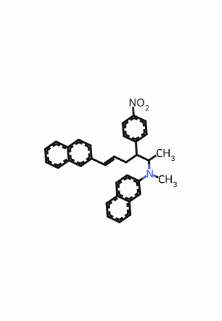 CC(C(C/C=C/c1ccc2ccccc2c1)c1ccc([N+](=O)[O-])cc1)N(C)c1ccc2ccccc2c1